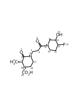 C[C@H]1C(=O)N(CCC(=O)N2CCC(F)C(O)C2)CCN1C(=O)O